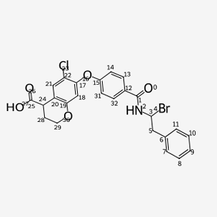 O=C(NC(Br)Cc1ccccc1)c1ccc(Oc2cc3c(cc2Cl)C(C(=O)O)CCO3)cc1